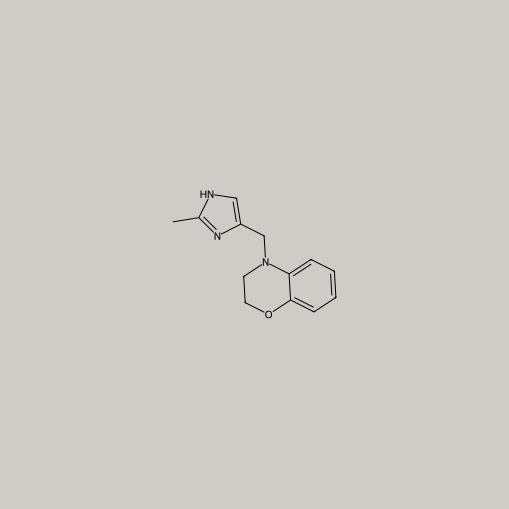 Cc1nc(CN2CCOc3ccccc32)c[nH]1